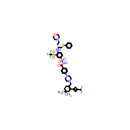 CC1(C)CCC(CN2CCN(c3ccc(C(=O)NS(=O)(=O)c4ccc(N[C@H](CCN5CCOCC5)CSc5ccccc5)c(S(=O)(=O)C(F)(F)F)c4)cc3)CC2)=C(C23CC(C(F)F)(C2)C3)C1